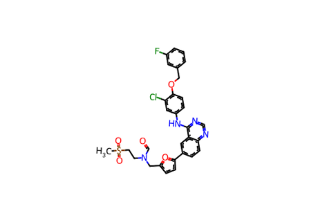 CS(=O)(=O)CCN(C=O)Cc1ccc(-c2ccc3ncnc(Nc4ccc(OCc5cccc(F)c5)c(Cl)c4)c3c2)o1